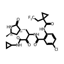 C[C@@H]1C[C@@H](CC(NC(=O)c2cc(Cl)ccc2NC(=O)C2(CC(F)(F)F)CC2)C(=O)C(=O)NC2CC2)C(=O)N1